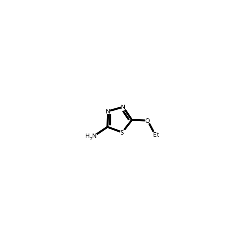 CCOc1nnc(N)s1